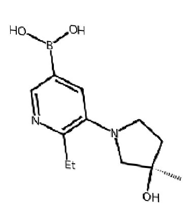 CCc1ncc(B(O)O)cc1N1CC[C@@](C)(O)C1